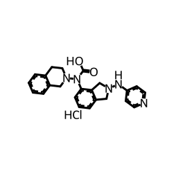 Cl.O=C(O)N(c1cccc2c1CN(Nc1ccncc1)C2)N1CCc2ccccc2C1